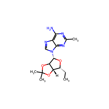 CC[C@H]1O[C@@H](n2cnc3c(N)nc(C)nc32)C2OC(C)(C)O[C@H]21